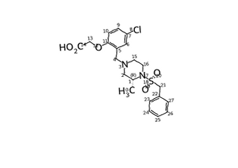 C[C@@H]1CN(Cc2cc(Cl)ccc2OCC(=O)O)CCN1S(=O)(=O)Cc1ccccc1